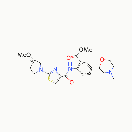 COC(=O)c1cc(C2CN(C)CCO2)ccc1NC(=O)c1csc(N2CC[C@H](OC)C2)n1